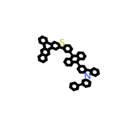 c1ccc(-c2cccc(-n3c4ccccc4c4cc(-c5c6ccccc6c(-c6ccc7sc8cc9c%10ccccc%10c%10cc%11ccccc%11cc%10c9cc8c7c6)c6ccccc56)ccc43)c2)cc1